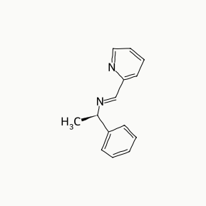 C[C@@H](N=Cc1ccccn1)c1ccccc1